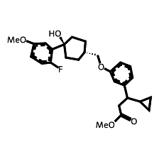 COC(=O)CC(c1cccc(OC[C@H]2CC[C@@](O)(c3cc(OC)ccc3F)CC2)c1)C1CC1